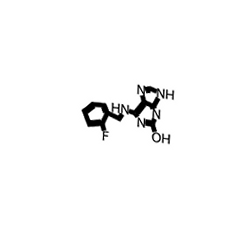 Oc1nc(NCc2ccccc2F)c2nc[nH]c2n1